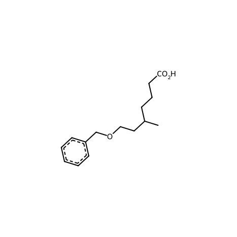 CC(CCCC(=O)O)CCOCc1ccccc1